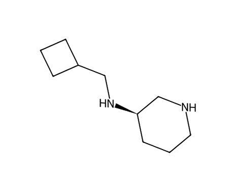 C1CC(CN[C@@H]2CCCNC2)C1